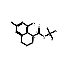 Cc1cc(Br)c2c(c1)CCCN2C(=O)OC(C)(C)C